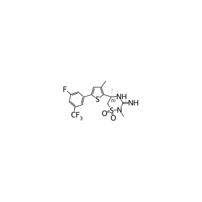 Cc1cc(-c2cc(F)cc(C(F)(F)F)c2)sc1[C@]1(C)CS(=O)(=O)N(C)C(=N)N1